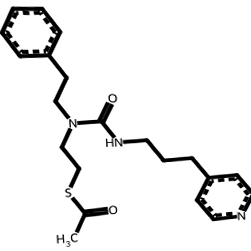 CC(=O)SCCN(CCc1ccccc1)C(=O)NCCCc1ccncc1